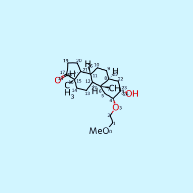 COCCO[C@H]1C[C@@]2(C)[C@@H](CC[C@@H]3[C@@H]2CC[C@]2(C)C(=O)CC[C@@H]32)C[C@@H]1O